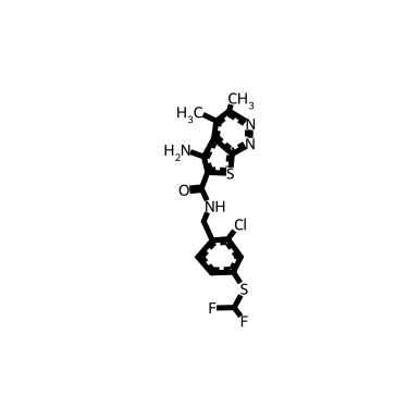 Cc1nnc2sc(C(=O)NCc3ccc(SC(F)F)cc3Cl)c(N)c2c1C